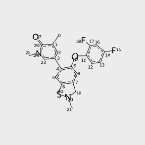 Cc1cc(-c2cc3c(cc2Oc2ccc(F)cc2F)CN(C)S3)cn(C)c1=O